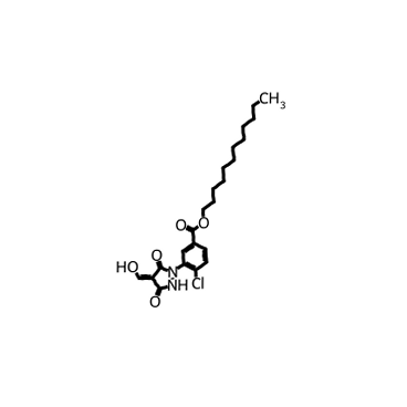 CCCCCCCCCCCCOC(=O)c1ccc(Cl)c(N2NC(=O)/C(=C/O)C2=O)c1